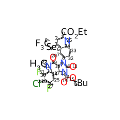 CCOC(=O)c1cc([Se]C(F)(F)F)c2cc(N3C(=O)N(C(=O)OC(C)(C)C)CC3C(=O)N(C)c3ccc(F)c(Cl)c3F)ccc2n1